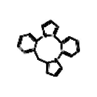 c1ccc2c(c1)Cc1cccn1-c1ccccc1-c1cccn1-2